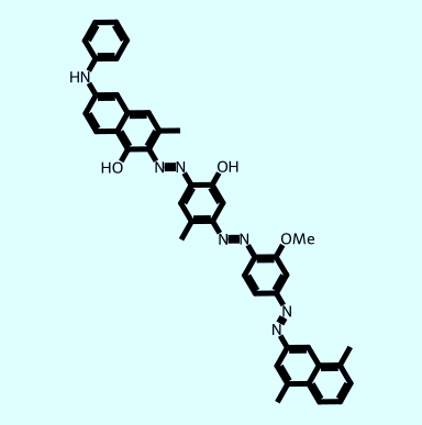 COc1cc(N=Nc2cc(C)c3cccc(C)c3c2)ccc1N=Nc1cc(O)c(N=Nc2c(C)cc3cc(Nc4ccccc4)ccc3c2O)cc1C